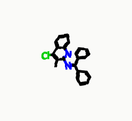 Cc1c(N=C(c2ccccc2)c2ccccc2)nc2ccccc2c1Cl